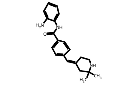 CC1(C)C/C(=C/c2ccc(C(=O)Nc3ccccc3N)cc2)CCN1